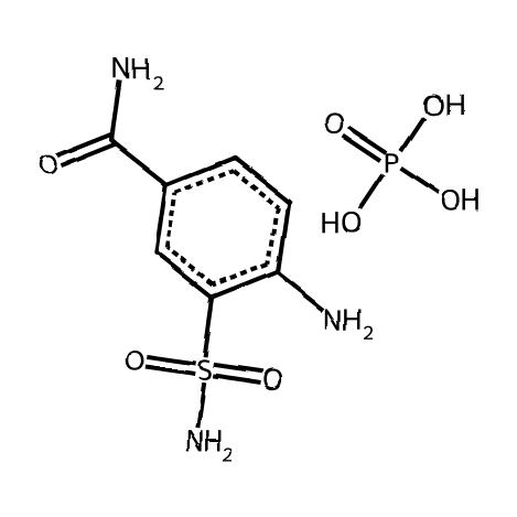 NC(=O)c1ccc(N)c(S(N)(=O)=O)c1.O=P(O)(O)O